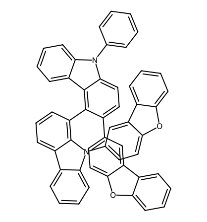 c1ccc(-n2c3ccccc3c3c(-c4cccc5c6ccccc6n(-c6ccc7oc8ccccc8c7c6)c45)c(-c4ccc5oc6ccccc6c5c4)ccc32)cc1